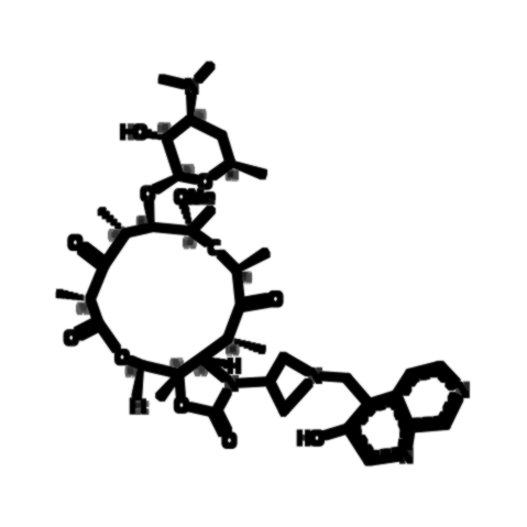 CC[C@H]1OC(=O)[C@H](C)C(=O)[C@H](C)[C@@H](O[C@@H]2O[C@H](C)C[C@H](N(C)C)[C@H]2O)[C@](C)(OC)C[C@@H](C)C(=O)[C@H](C)[C@H]2N(C3CN(Cc4c(O)cnc5cnccc45)C3)C(=O)O[C@]12C